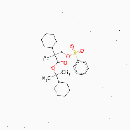 CC(=O)C(COS(=O)(=O)c1ccccc1)(C(=O)OC(C)(C)C1CCCCC1)C1CCCCC1